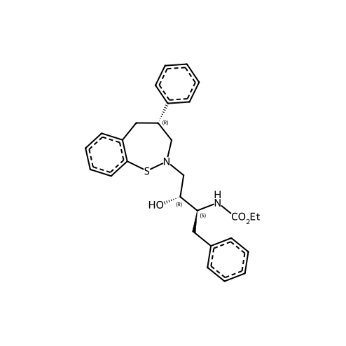 CCOC(=O)N[C@@H](Cc1ccccc1)[C@H](O)CN1C[C@@H](c2ccccc2)Cc2ccccc2S1